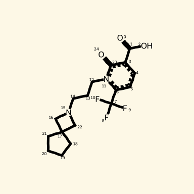 O=C(O)c1ccc(C(F)(F)F)n(CCCN2CC3(CCCC3)C2)c1=O